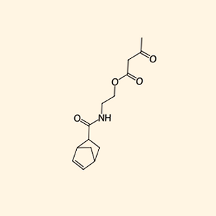 CC(=O)CC(=O)OCCNC(=O)C1CC2C=CC1C2